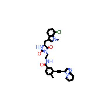 Cc1ccc(C(=O)NCCN2C(=O)NC(Cc3cn(C)c4c(Cl)cccc34)C2=O)cc1C#Cc1cnc2ccccn12